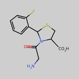 NCC(=O)N1C(C(=O)O)CSC1c1ccccc1F